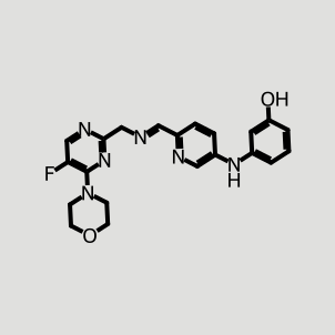 Oc1cccc(Nc2ccc(/C=N/Cc3ncc(F)c(N4CCOCC4)n3)nc2)c1